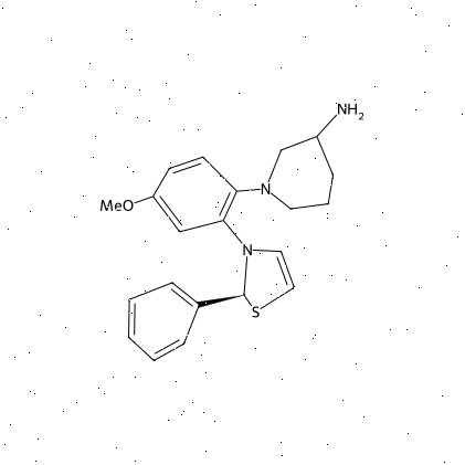 COc1ccc(N2CCCC(N)C2)c(N2C=CS[C@H]2c2ccccc2)c1